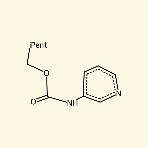 CCCC(C)COC(=O)Nc1cccnc1